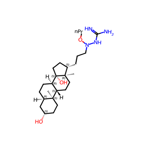 CCCON(CCC[C@H]1CC[C@]2(O)[C@@H]3CC[C@@H]4C[C@@H](O)CC[C@]4(C)[C@H]3CC[C@]12C)NC(=N)N